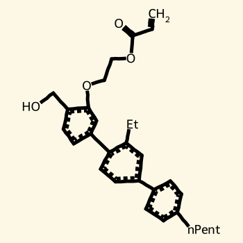 C=CC(=O)OCCOc1cc(-c2ccc(-c3ccc(CCCCC)cc3)cc2CC)ccc1CO